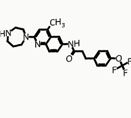 Cc1cc(N2CCCNCC2)nc2ccc(NC(=O)CCc3ccc(OC(F)(F)F)cc3)cc12